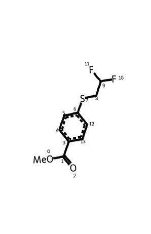 COC(=O)c1ccc(SCC(F)F)cc1